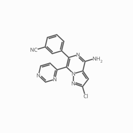 N#Cc1cccc(-c2nc(N)c3cc(Cl)nn3c2-c2ccncn2)c1